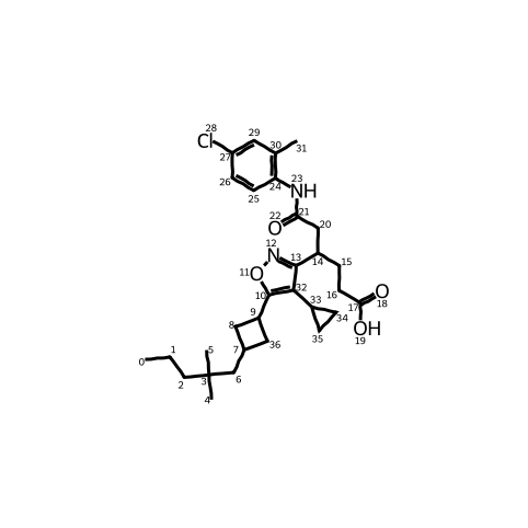 CCCC(C)(C)CC1CC(c2onc(C(CCC(=O)O)CC(=O)Nc3ccc(Cl)cc3C)c2C2CC2)C1